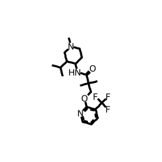 CC(C)C1CN(C)CCC1NC(=O)C(C)(C)COc1ncccc1C(F)(F)F